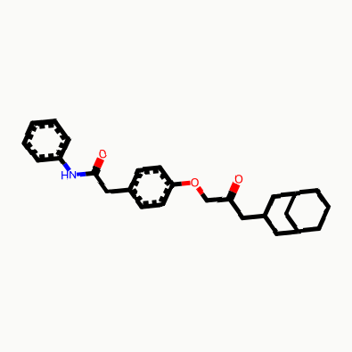 O=C(COc1ccc(CC(=O)Nc2ccccc2)cc1)CC1CC2CCCC(C2)C1